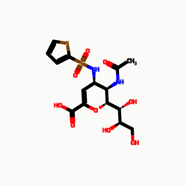 CC(=O)N[C@H]1[C@H]([C@H](O)[C@H](O)CO)OC(C(=O)O)=C[C@H]1NS(=O)(=O)c1cccs1